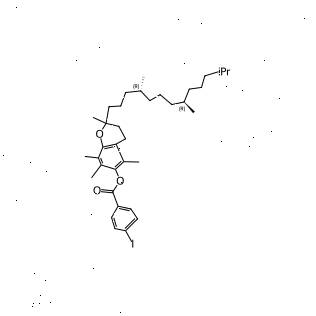 Cc1c(C)c2c(c(C)c1OC(=O)c1ccc(I)cc1)CCC(C)(CCC[C@H](C)CCC[C@H](C)CCCC(C)C)O2